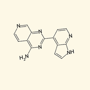 Nc1nc(-c2ccnc3[nH]ccc23)nc2cnccc12